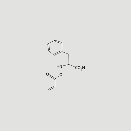 C=CC(=O)ONC(Cc1ccccc1)C(=O)O